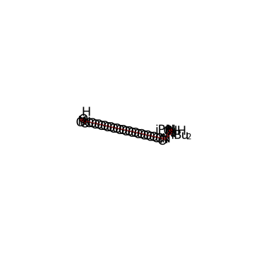 CCCCc1nc2c(N)nnc(OC(C)C)c2n1Cc1ccc(CN2CCN(C(=O)CCOCCOCCOCCOCCOCCOCCOCCOCCOCCOCCOCCOCCOCCOCCOCCOCCOCCOCCOCCOCCOCCOCCOCCOCCNC(=O)CCN3C(=O)C=CC3=O)CC2)cc1